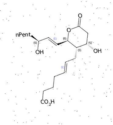 CCCCC[C@H](O)/C=C/[C@H]1OC(=O)C[C@H](O)[C@@H]1C/C=C/CCCC(=O)O